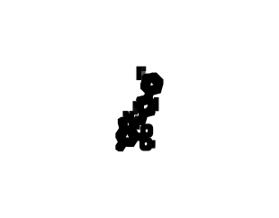 COC(=O)c1cc(C)cc2cnn(Cc3cnc(-c4cccc(F)c4)cn3)c12